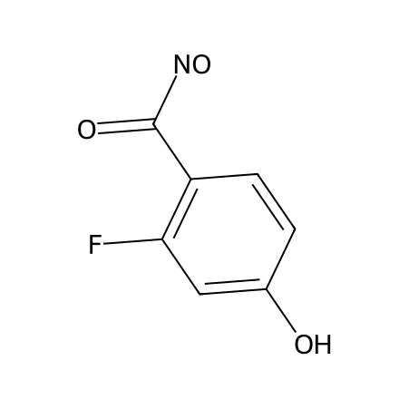 O=NC(=O)c1ccc(O)cc1F